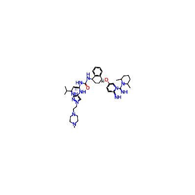 CC(C)C(=N)/C=C(/NC(=O)NC1CC[C@@H](Oc2ccc(=N)n(C(=N)N3C(C)CCCC3C)c2)c2ccccc21)Nc1cnn(CCN2CCN(C)CC2)c1